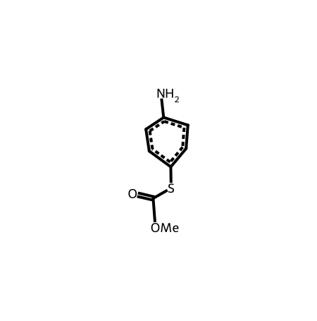 COC(=O)Sc1ccc(N)cc1